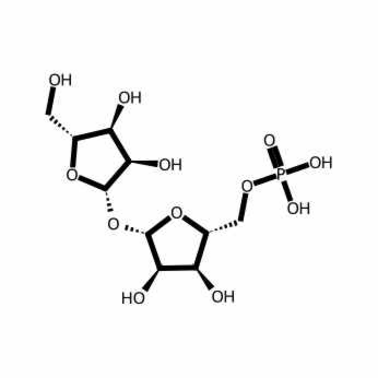 O=P(O)(O)OC[C@H]1O[C@@H](O[C@@H]2O[C@H](CO)[C@@H](O)[C@H]2O)[C@H](O)[C@@H]1O